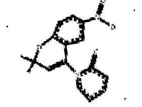 CC1(C)C=C(n2ccccc2=O)c2cc([N+](=O)[O-])ccc2O1